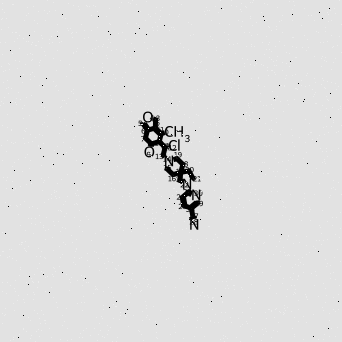 CC1=C2COC=C2CC(=O)C1[C@H](Cl)CN1CCC2(CC1)CCN(c1ccc(C#N)cn1)C2